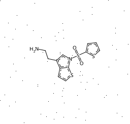 NCCc1cn(S(=O)(=O)c2cccs2)c2sccc12